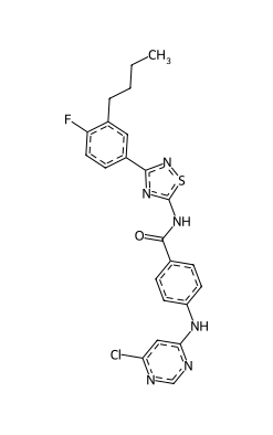 CCCCc1cc(-c2nsc(NC(=O)c3ccc(Nc4cc(Cl)ncn4)cc3)n2)ccc1F